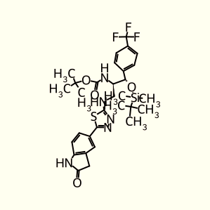 CC(C)(C)OC(=O)N[C@H](CNc1nnc(-c2ccc3c(c2)CC(=O)N3)s1)[C@@H](O[Si](C)(C)C(C)(C)C)c1ccc(C(F)(F)F)cc1